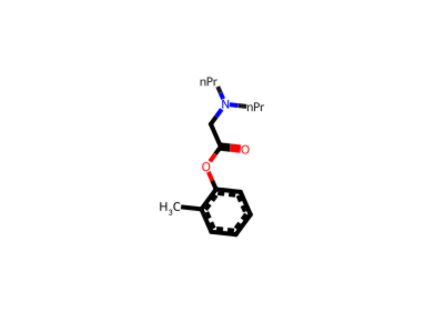 CCCN(CCC)CC(=O)Oc1ccccc1C